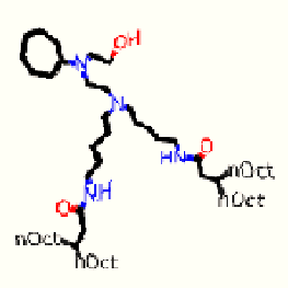 CCCCCCCCC(CCCCCCCC)CC(=O)NCCCCCN(CCCCCNC(=O)CC(CCCCCCCC)CCCCCCCC)CCN(CCO)C1CCCCCC1